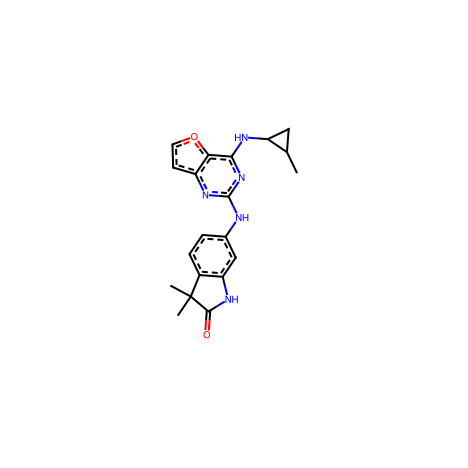 CC1CC1Nc1nc(Nc2ccc3c(c2)NC(=O)C3(C)C)nc2ccoc12